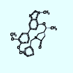 COc1ccc(-c2cc(O[C@H](C)[C@@H]3CC(=O)N(Cc4ccccc4)C3)c3c(c2)ncn3C)cc1OC